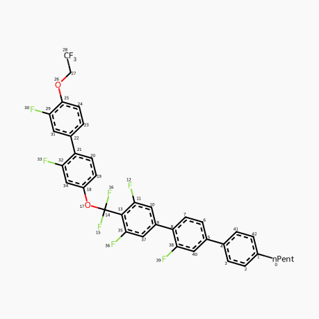 CCCCCc1ccc(-c2ccc(-c3cc(F)c(C(F)(F)Oc4ccc(-c5ccc(OCC(F)(F)F)c(F)c5)c(F)c4)c(F)c3)c(F)c2)cc1